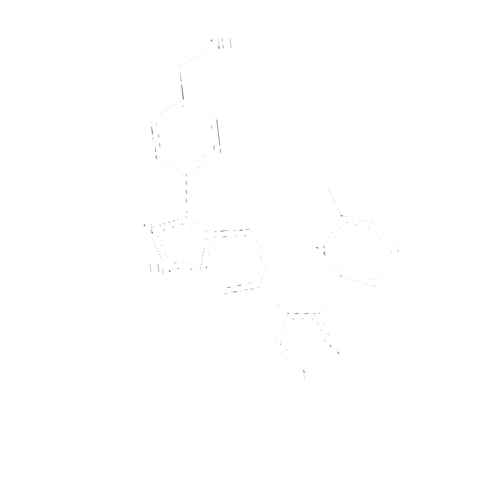 Cc1cccc(-c2n[nH]cc2-c2ccc3c(-c4ccc(CN)cc4)n[nH]c3c2)n1